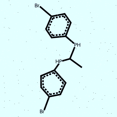 CC(Pc1ccc(Br)cc1)Pc1ccc(Br)cc1